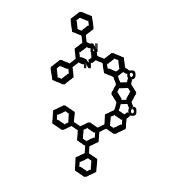 c1ccc(-c2cc(-c3ccccc3)cc(-c3ccc4oc5cc6oc7ccc(-c8nc(-c9ccccc9)cc(-c9ccccc9)n8)cc7c6cc5c4c3)c2)cc1